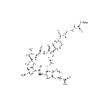 CCn1nc(C)cc1C(=O)Nc1nc2cc(C(N)=O)ccc2n1C/C=C/Cn1c(NC(=O)c2cc(C)nn2CC)nc2cc(C(=O)NCCNC(=O)OC(C)(C)C)ccc21